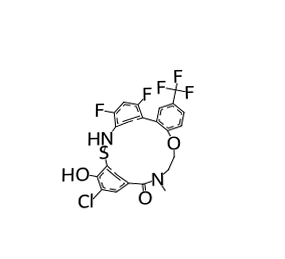 CN1CCOc2ccc(C(F)(F)F)cc2-c2cc(c(F)cc2F)NSc2cc(cc(Cl)c2O)C1=O